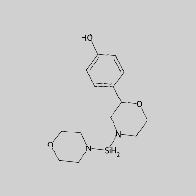 Oc1ccc(C2CN([SiH2]N3CCOCC3)CCO2)cc1